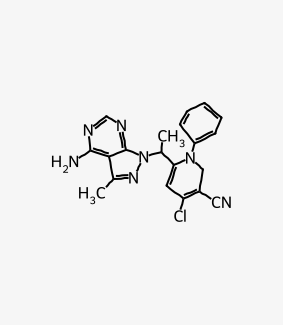 Cc1nn(C(C)C2=CC(Cl)=C(C#N)CN2c2ccccc2)c2ncnc(N)c12